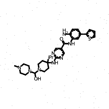 CC(C)C1(Nc2ncc(C(=O)Nc3cc(-c4cccs4)ccc3N)cn2)CCN(C(O)N2CCN(C)CC2)CC1